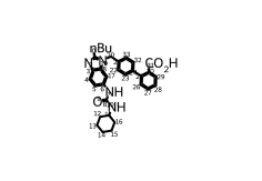 CCCCc1nc2ccc(NC(=O)NC3CCCCC3)cc2n1Cc1ccc(-c2ccccc2C(=O)O)cc1